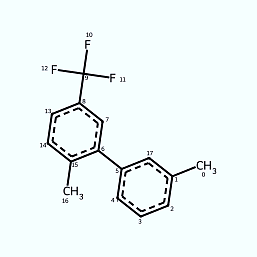 Cc1cc[c]c(-c2cc(C(F)(F)F)ccc2C)c1